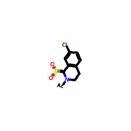 CC(=O)N1CCc2ccc(Cl)cc2C1=S(=O)=O